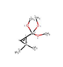 CO[Si](OC)(OC)C1=C[Si]1(C)C